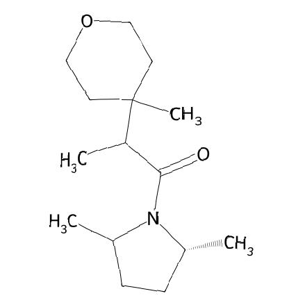 CC1CC[C@@H](C)N1C(=O)C(C)C1(C)CCOCC1